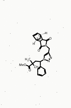 COC(=O)C(C)(C)CC(c1ccccc1)n1cc(CN2C(=O)C3C(C2=O)[C@H]2C=C[C@@H]3C2)nn1